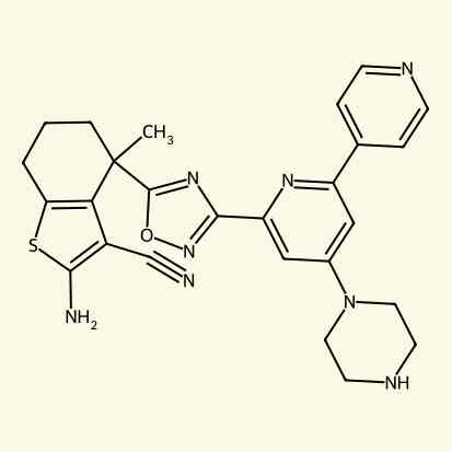 CC1(c2nc(-c3cc(N4CCNCC4)cc(-c4ccncc4)n3)no2)CCCc2sc(N)c(C#N)c21